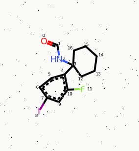 O=CNC1(c2ccc(I)cc2F)CCCCC1